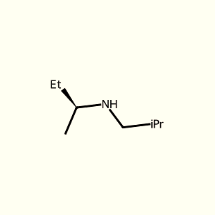 CC[C@H](C)NCC(C)C